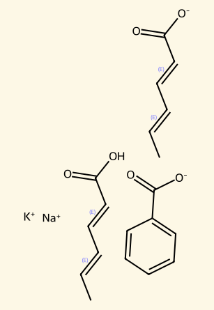 C/C=C/C=C/C(=O)O.C/C=C/C=C/C(=O)[O-].O=C([O-])c1ccccc1.[K+].[Na+]